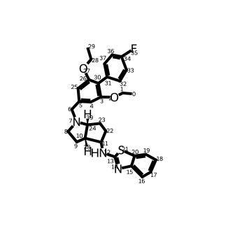 CCOc1cc(CN2CC[C@H]3C(Nc4nc5ccccc5s4)CC[C@H]32)cc(OCC)c1-c1ccc(F)cc1